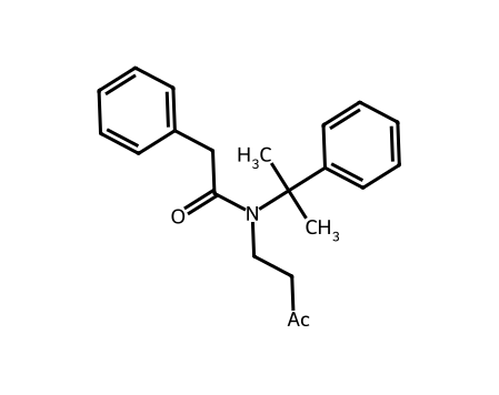 CC(=O)CCN(C(=O)Cc1ccccc1)C(C)(C)c1ccccc1